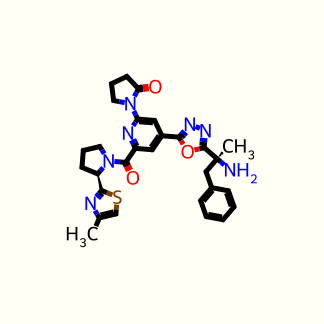 Cc1csc([C@H]2CCCN2C(=O)c2cc(-c3nnc([C@@](C)(N)Cc4ccccc4)o3)cc(N3CCCC3=O)n2)n1